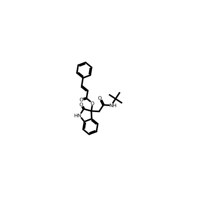 CC(C)(C)NC(=O)CC1(OC(=O)/C=C/c2ccccc2)C(=O)Nc2ccccc21